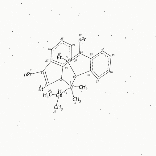 CCCC1=C(CC)[CH]([Zr]([CH3])([CH3])([CH]2C(CC)=C(CCC)c3ccccc32)[GeH]([CH3])[CH3])c2ccccc21